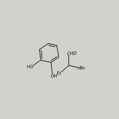 CCCCC(C=O)CC.Oc1ccccc1O